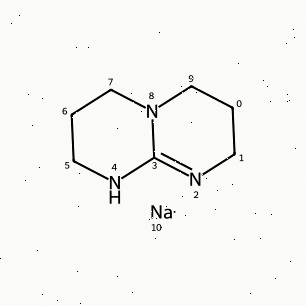 C1CN=C2NCCCN2C1.[Na]